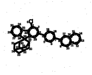 Clc1cc(-c2ccc(-c3ccc4ccccc4c3)cc2)cc2c1-c1ccccc1C21C2CC3CC(C2)CC1C3